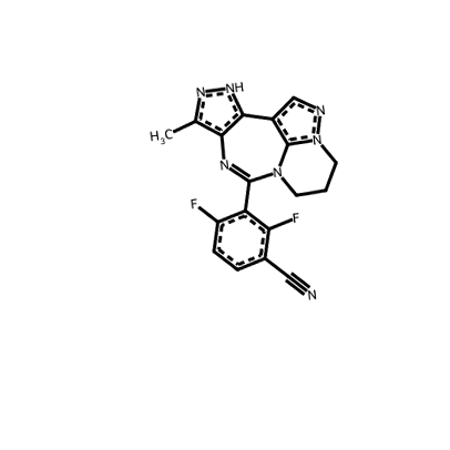 Cc1n[nH]c2c1N=C(c1c(F)ccc(C#N)c1F)N1CCCn3ncc-2c31